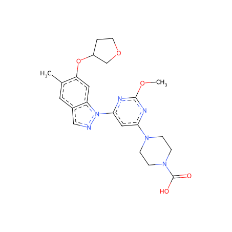 COc1nc(N2CCN(C(=O)O)CC2)cc(-n2ncc3cc(C)c(OC4CCOC4)cc32)n1